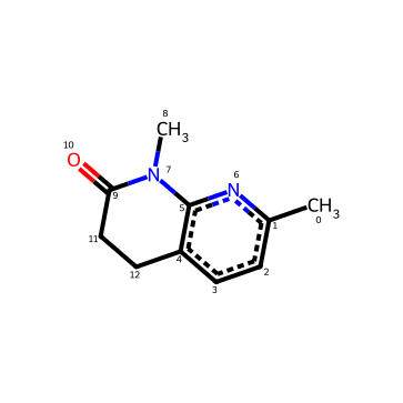 Cc1ccc2c(n1)N(C)C(=O)CC2